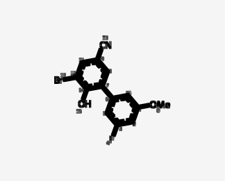 COc1cc(F)cc(-c2cc(C#N)cc(Br)c2O)c1